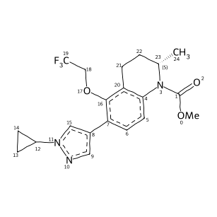 COC(=O)N1c2ccc(-c3cnn(C4CC4)c3)c(OCC(F)(F)F)c2CC[C@@H]1C